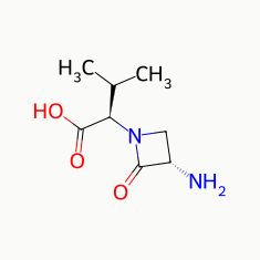 CC(C)[C@H](C(=O)O)N1C[C@H](N)C1=O